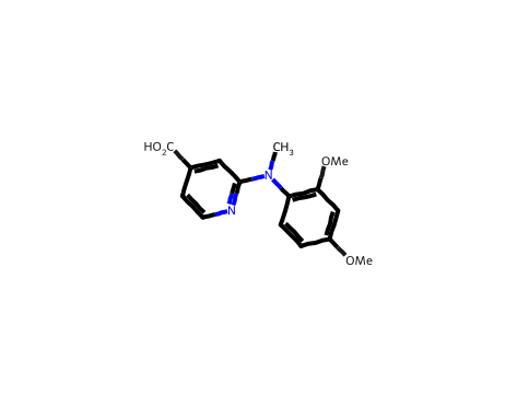 COc1ccc(N(C)c2cc(C(=O)O)ccn2)c(OC)c1